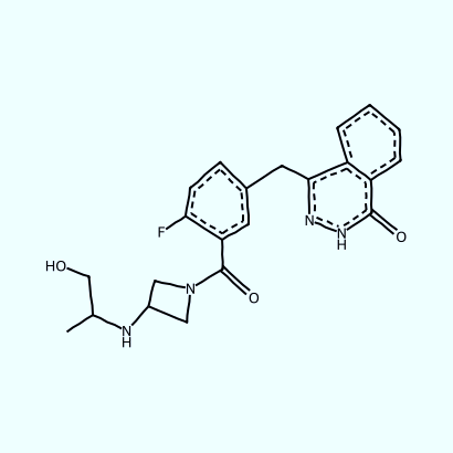 CC(CO)NC1CN(C(=O)c2cc(Cc3n[nH]c(=O)c4ccccc34)ccc2F)C1